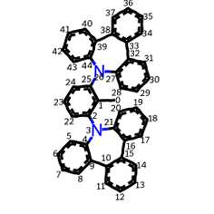 Cc1c(N2c3ccccc3-c3ccccc3-c3ccccc32)cccc1N1c2ccccc2-c2ccccc2-c2ccccc21